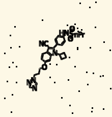 CCCS(=O)(=O)Nc1ccc(-c2c(C#N)c3ccc(OCCCn4cncn4)cc3n2C2CCC2)cc1